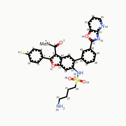 CNC(=O)c1c(-c2ccc(F)cc2)oc2cc(NS(=O)(=O)CCCCN)c(-c3cccc(-c4nc5ncccc5o4)c3)cc12